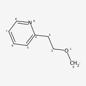 [CH2]OCCc1ccccn1